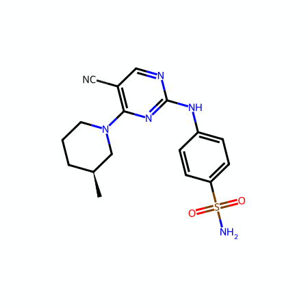 C[C@H]1CCCN(c2nc(Nc3ccc(S(N)(=O)=O)cc3)ncc2C#N)C1